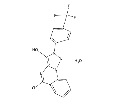 O.OC1=C2N=C(Cl)c3ccccc3N2[N]N1c1ccc(C(F)(F)F)cc1